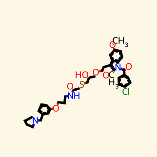 COc1ccc2c(c1)c(CC(=O)OCC(O)CSCC(=O)NCCCOc1cccc(CN3CCCC3)c1)c(C)n2C(=O)c1ccc(Cl)cc1